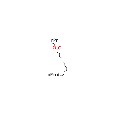 CCCC=COC(=O)CCCCCCC/C=C\C/C=C\CCCCC